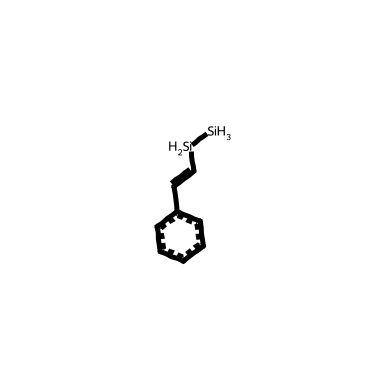 [SiH3][SiH2]C=Cc1ccccc1